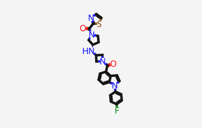 O=C(c1nccs1)N1CC[C@H](NC2CN(C(=O)c3cccc4c3ccn4-c3ccc(F)cc3)C2)C1